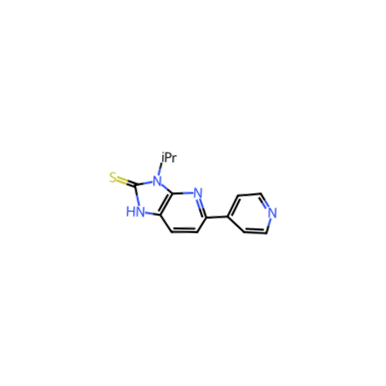 CC(C)n1c(=S)[nH]c2ccc(-c3ccncc3)nc21